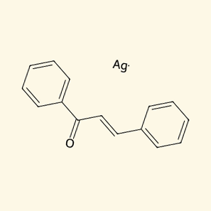 O=C(C=Cc1ccccc1)c1ccccc1.[Ag]